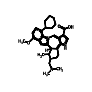 COc1ccc(C2CCCCC2)c2c1cc1n2C=c2c(C(=O)O)c[nH]c2=C2CCC(CN(C)C)C(C)[C@@H]21